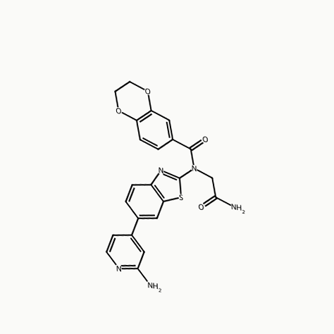 NC(=O)CN(C(=O)c1ccc2c(c1)OCCO2)c1nc2ccc(-c3ccnc(N)c3)cc2s1